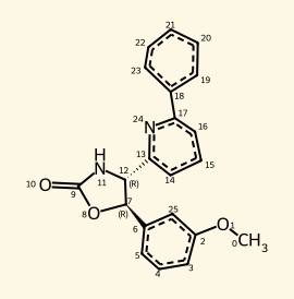 COc1cccc([C@H]2OC(=O)N[C@@H]2c2cccc(-c3ccccc3)n2)c1